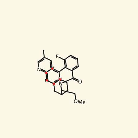 COCC1C2CCC(C(Oc3ccc(C)cn3)C2)N1C(=O)c1cccc(F)c1-c1ncccn1